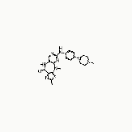 Cc1nc2c(s1)N(C)c1nc(Nc3ccc(N4CCN(C)CC4)cc3)ncc1NC2=O